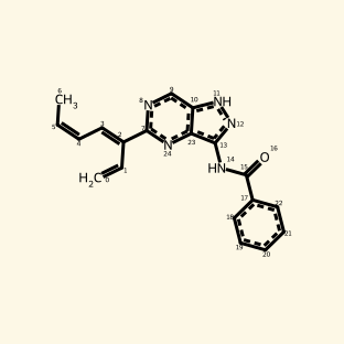 C=C/C(=C\C=C/C)c1ncc2[nH]nc(NC(=O)c3ccccc3)c2n1